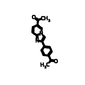 CC(=O)c1ccc(-c2cn3cc(C(C)=O)ccc3n2)cc1